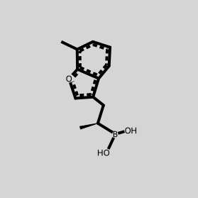 Cc1cccc2c(C[C@H](C)B(O)O)coc12